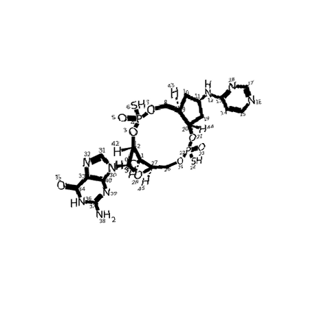 C[C@H]1[C@H]2OP(=O)(S)OC[C@H]3C[C@@H](Nc4ccncn4)C[C@@H]3OP(=O)(S)OC[C@H]1O[C@H]2n1cnc2c(=O)[nH]c(N)nc21